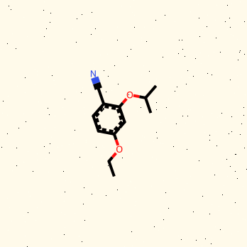 CCOc1ccc(C#N)c(OC(C)C)c1